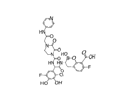 O=C(CN1CCN(C(=O)NC(C(=O)N[C@H]2Cc3ccc(F)c(C(=O)O)c3OB2O)c2cc(F)c(O)c(O)c2Cl)C(=O)C1=O)Nc1ccncc1